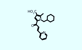 Cc1c(C(=O)O)cc(C(=O)/C=C/c2ccccn2)n1CC1CCCCC1